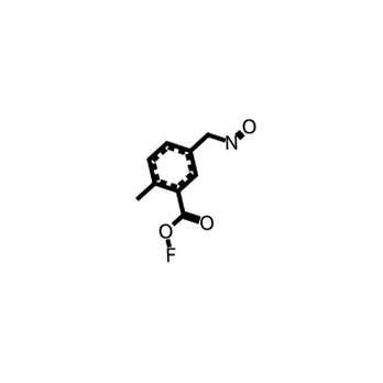 Cc1ccc(CN=O)cc1C(=O)OF